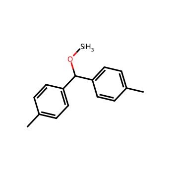 Cc1ccc(C(O[SiH3])c2ccc(C)cc2)cc1